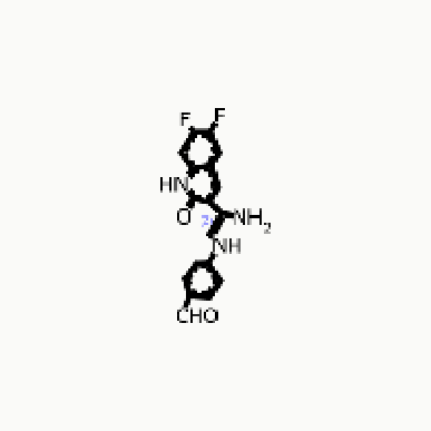 N/C(=C\Nc1ccc(C=O)cc1)c1cc2cc(F)c(F)cc2[nH]c1=O